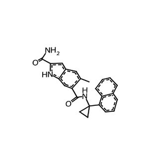 Cc1cc2cc(C(N)=O)[nH]c2cc1C(=O)NC1(c2cccc3ccccc23)CC1